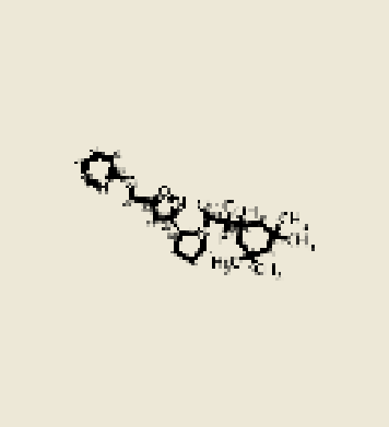 CC1(C)CC(C)(C)CC(O)(C(F)(F)C(=O)N2CCC[C@H]2c2cc(COc3cccnn3)on2)C1